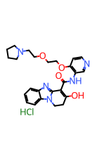 Cl.O=C(Nc1cnccc1OCCOCCN1CCCC1)C1=C(O)CCn2c1nc1ccccc12